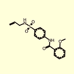 C=CCNS(=O)(=O)c1ccc(NC(=O)c2ccccc2OC)cc1